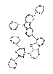 c1ccc(-c2ccc3c(c2)c2cc(-c4cccc5c4oc4c(-c6nc(-c7ccccc7)nc(-c7ccccc7)n6)cccc45)ccc2n3-c2ccccc2)cc1